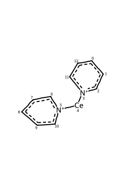 c1cc[n+]([Ce][n+]2ccccc2)cc1